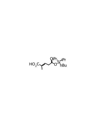 CCCC[Si](OC(=O)CC=C(C)C(=O)O)(C(C)C)C(C)C